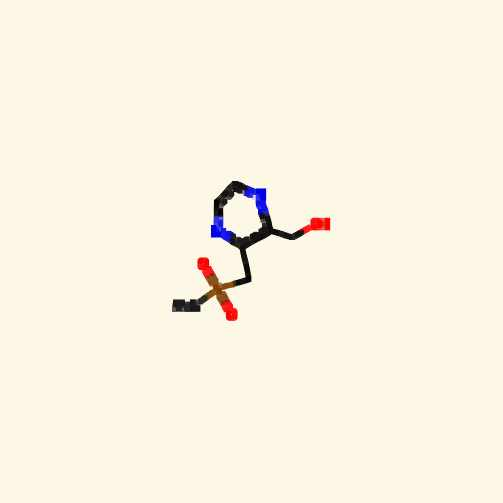 CNS(=O)(=O)Cc1nccnc1CO